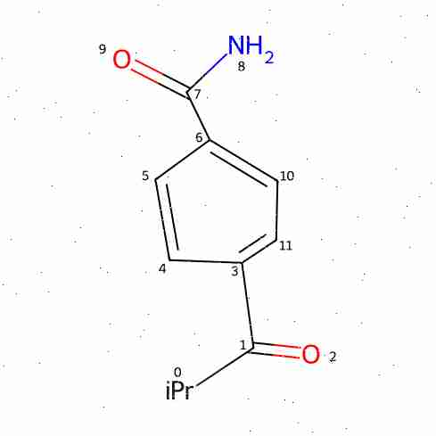 CC(C)C(=O)c1ccc(C(N)=O)cc1